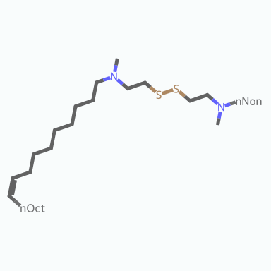 CCCCCCCC/C=C\CCCCCCCCN(C)CCSSCCN(C)CCCCCCCCC